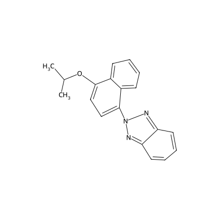 CC(C)Oc1ccc(-n2nc3ccccc3n2)c2ccccc12